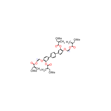 C=C(COC)C(=O)O/C=C\Oc1ccc(-c2ccc(-c3ccc(O/C=C\OC(=O)C(=C)COC)c(OC(=O)C(=C)COC)c3)cc2)cc1OC(=O)C(=C)COC